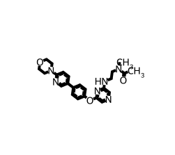 CC(=O)N(C)CCNc1cncc(Oc2ccc(-c3ccc(N4CCOCC4)nc3)cc2)n1